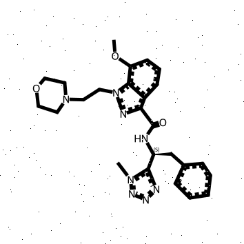 COc1cccc2c(C(=O)N[C@@H](Cc3ccccc3)c3nnnn3C)nn(CCN3CCOCC3)c12